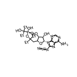 CCC(CC)(CC1O[C@@H](n2c(N=[N+]=[N-])nc3c(N)ncnc32)[C@H](O)[C@@H]1O)OP(=O)(O)C(O)(CC)CC